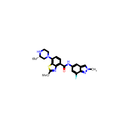 COc1nc2c(C(=O)Nc3cc(F)c4nn(C)cc4c3)ccc(N3CCN[C@@H](C(C)(C)C)C3)c2s1